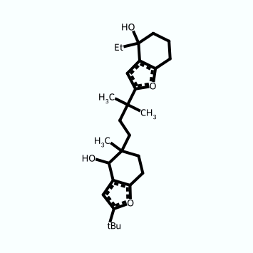 CCC1(O)CCCc2oc(C(C)(C)CCC3(C)CCc4oc(C(C)(C)C)cc4C3O)cc21